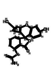 NC(=S)[N]c1cccc2c1C(=O)OC21c2ccc(O)cc2Oc2cc(O)ccc21